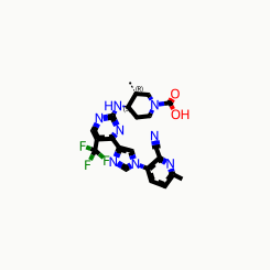 Cc1ccc(-n2cnc(-c3nc(N[C@H]4CCN(C(=O)O)C[C@H]4C)ncc3C(F)(F)F)c2)c(C#N)n1